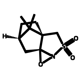 CC1(C)[C@@H]2CC[C@@]13CS(=O)(=O)N1O[C@@]13C2